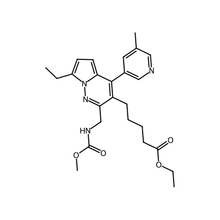 CCOC(=O)CCCCc1c(CNC(=O)OC)nn2c(CC)ccc2c1-c1cncc(C)c1